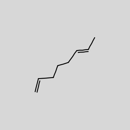 C=CCCCC=CC